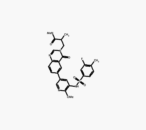 CNC(=O)C(C)Cn1cnc2ccc(-c3cnc(OC)c(NS(=O)(=O)c4ccc(C)c(F)c4)c3)cc2c1=O